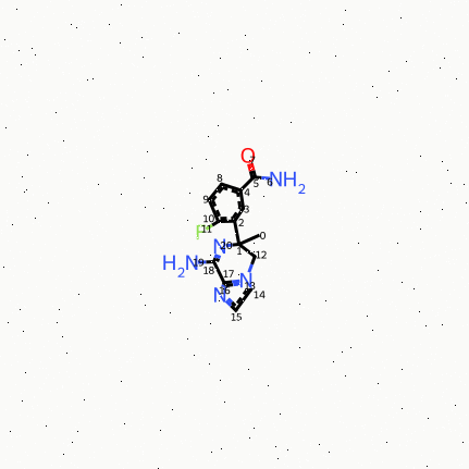 CC1(c2cc(C(N)=O)ccc2F)Cn2ccnc2C(N)=N1